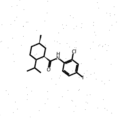 CC(C)C1CC[C@@H](C)C[C@H]1C(=O)Nc1ccc(I)cc1Cl